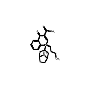 CCCC[N+]1(C2CC3CCC(C2)N3C)C=C(C(N)=O)C(=O)c2ccccc21